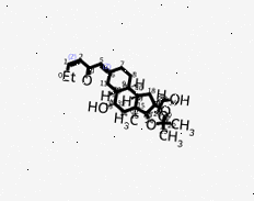 CC/C=C\C(=O)/C=C1/CC[C@@H]2[C@@H](C1)[C@@H](O)C[C@@]1(C)[C@H]2C[C@H]2OC(C)(C)O[C@]21C(=O)CO